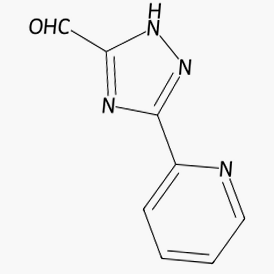 O=Cc1nc(-c2ccccn2)n[nH]1